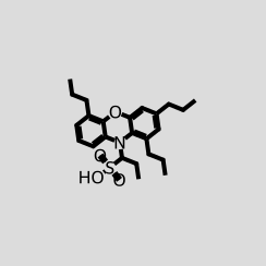 CCCc1cc(CCC)c2c(c1)Oc1c(CCC)cccc1N2C(CC)S(=O)(=O)O